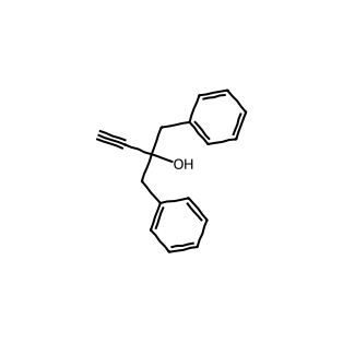 C#CC(O)(Cc1ccccc1)Cc1ccccc1